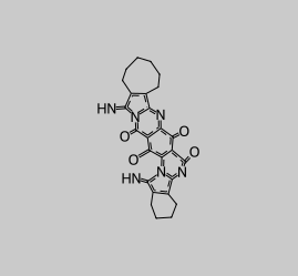 N=c1c2c(c3nc4c(=O)c5c(=O)nc6c7c(c(=N)n6c5c(=O)c4c(=O)n13)CCCC7)CCCCCC2